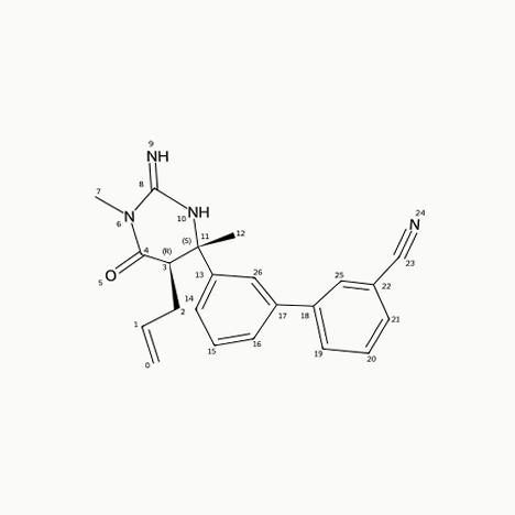 C=CC[C@H]1C(=O)N(C)C(=N)N[C@]1(C)c1cccc(-c2cccc(C#N)c2)c1